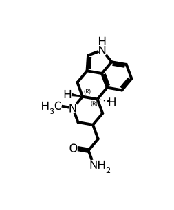 CN1CC(CC(N)=O)C[C@@H]2c3cccc4[nH]cc(c34)C[C@H]21